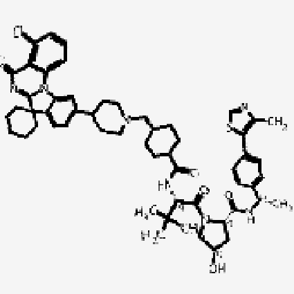 Cc1ncsc1-c1ccc([C@H](C)NC(=O)[C@@H]2C[C@@H](O)CN2C(=O)[C@@H](NC(=O)C2CCC(CN3CCC(c4ccc5c(c4)-n4c(nc(=O)c6c(Cl)cccc64)C54CCCCC4)CC3)CC2)C(C)(C)C)cc1